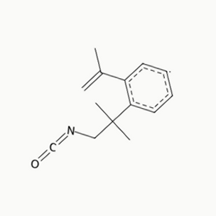 C=C(C)c1c[c]ccc1C(C)(C)CN=C=O